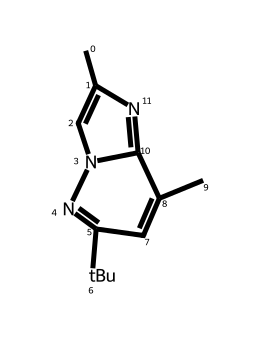 Cc1cn2nc(C(C)(C)C)cc(C)c2n1